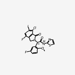 COc1ccc(F)cc1[C@H](C(=O)Nc1nccs1)N1Cc2c(F)cc(I)c(Cl)c2C1=O